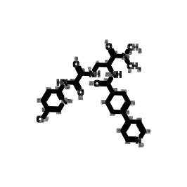 CN(C)C(=O)C(CNC(=O)C(=O)Nc1ccc(Cl)cn1)NC(=O)C1CC=C(c2ccncc2)CC1